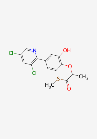 CSC(=O)C(C)Oc1ccc(-c2ncc(Cl)cc2Cl)cc1O